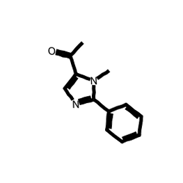 CC(=O)c1cnc(-c2ccccc2)n1C